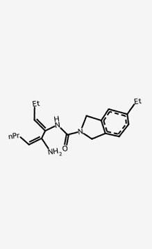 CC/C=C(NC(=O)N1Cc2ccc(CC)cc2C1)/C(N)=C\CCC